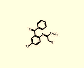 CCO/C(CI)=N/c1ccc(Cl)cc1C(=O)c1ccccc1